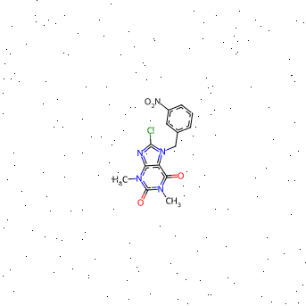 Cn1c(=O)c2c(nc(Cl)n2Cc2cccc([N+](=O)[O-])c2)n(C)c1=O